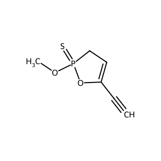 C#CC1=CCP(=S)(OC)O1